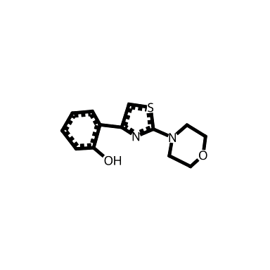 Oc1ccccc1-c1csc(N2CCOCC2)n1